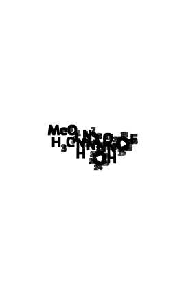 COC[C@H](C)Nc1nccc(N(C(=O)Nc2ccc(F)cc2)c2ccccc2)n1